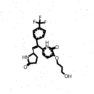 O=C1CC[C@H](C=C(c2ccc(C(F)(F)F)cc2)c2ccc(OCCCO)c(=O)[nH]2)N1